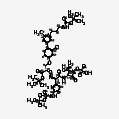 C[n+]1cc(-c2ccc(OC[C@H](O/N=C(\C(=O)N[C@@H]3C(=O)N(OS(=O)(=O)O)C3(C)C)c3csc(NC(=O)OC(C)(C)C)n3)C(=O)OC(C)(C)C)cc2Cl)cn1CCCNC(=O)OC(C)(C)C